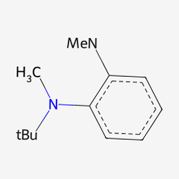 CNc1ccccc1N(C)C(C)(C)C